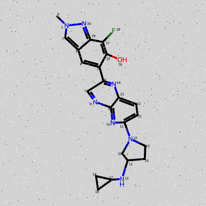 Cn1cc2cc(-c3cnc4nc(N5CCC(NC6CC6)C5)ccc4n3)c(O)c(F)c2n1